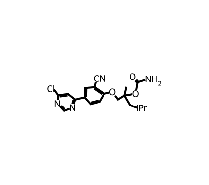 CC(C)CC(C)(COc1ccc(-c2cc(Cl)ncn2)cc1C#N)OC(N)=O